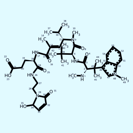 CN[C@H](C(=O)N[C@H](C(=O)N(C)[C@H](/C=C(\C)C(=O)N[C@H](CCC(=O)O)C(=O)NCCN1C(=O)C=CC1O)C(C)C)C(C)(C)C)C(C)(C)c1cn(C)c2ccccc12